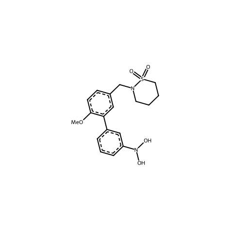 COc1ccc(CN2CCCCS2(=O)=O)cc1-c1cccc(N(O)O)c1